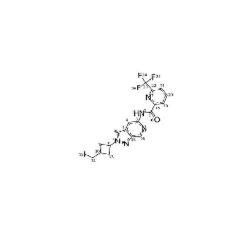 O=C(Nc1cc2cn(C3CC(CI)C3)nc2cn1)c1cccc(C(F)(F)F)n1